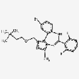 Cc1nn(COCC[Si](C)(C)C)c2c1N=C(c1c(F)cccc1F)Nc1ccc(Br)cc1-2